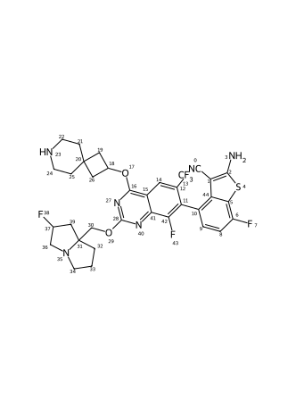 N#Cc1c(N)sc2c(F)ccc(-c3c(C(F)(F)F)cc4c(OC5CC6(CCNCC6)C5)nc(OCC56CCCN5CC(F)C6)nc4c3F)c12